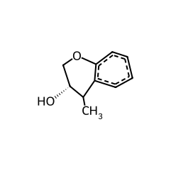 CC1c2ccccc2OC[C@H]1O